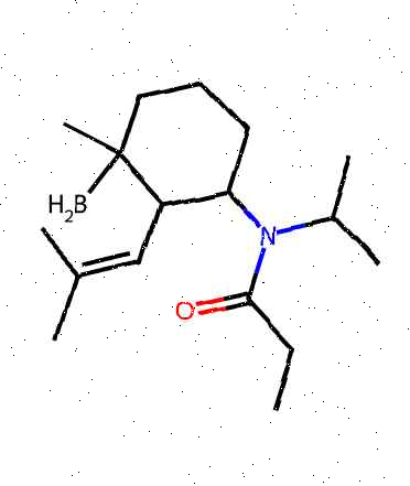 BC1(C)CCCC(N(C(=O)CC)C(C)C)C1C=C(C)C